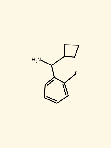 NC(c1ccccc1F)C1CCC1